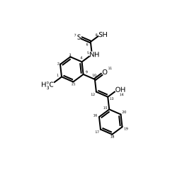 Cc1ccc(NC(=S)S)c(C(=O)/C=C(\O)c2ccccc2)c1